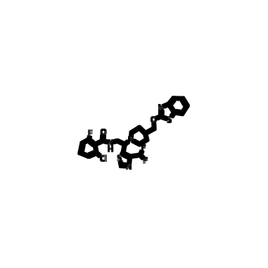 O=C(NCC(c1scnc1C(F)F)N1CCC(COc2nc3ccccc3s2)CC1)c1c(F)cccc1Cl